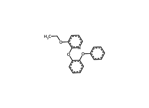 CCOc1cccnc1Oc1ccccc1Oc1ccccc1